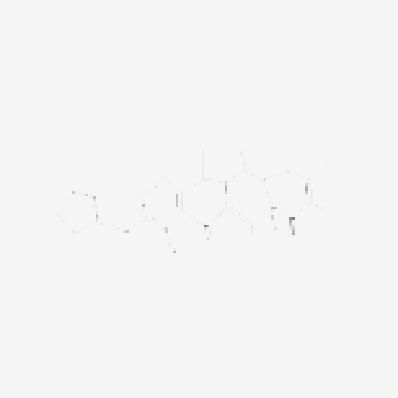 CC(=O)C1=C(C)CC2C(O)C3C(=C(O)C2(O)C1=O)C(=O)c1c(ccc(CC2CCCC2)c1O)C3C